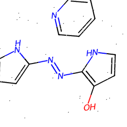 Oc1cc[nH]c1N=Nc1ccc[nH]1.c1ccncc1